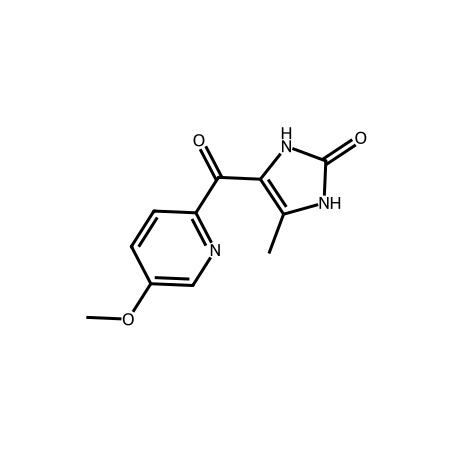 COc1ccc(C(=O)c2[nH]c(=O)[nH]c2C)nc1